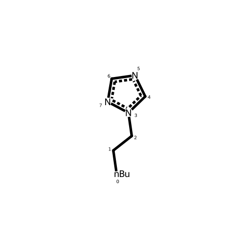 CCCCCCn1cncn1